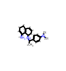 CCN(CC)c1ccc(C(C)NC2CC=CC3=C2C(N)=CCC3)cc1